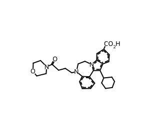 O=C(O)c1ccc2c(C3CCCCC3)c3n(c2c1)CCN(CCCC(=O)N1CCOCC1)c1ccccc1-3